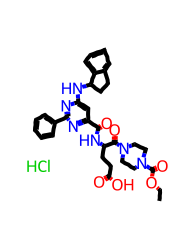 CCOC(=O)N1CCN(C(=O)C(CCC(=O)O)NC(=O)c2cc(NC3CCc4ccccc43)nc(-c3ccccc3)n2)CC1.Cl